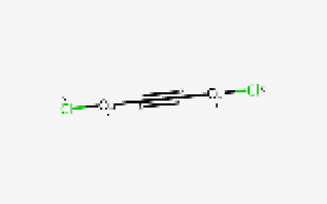 [Cl][Cu][C]#[C][Cu][Cl]